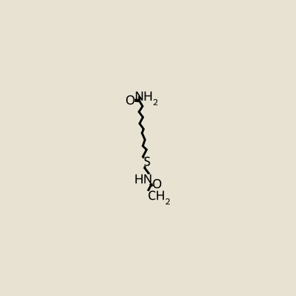 C=CC(=O)NCCSCCCCCCCCCCC(N)=O